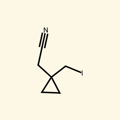 N#CCC1(CI)CC1